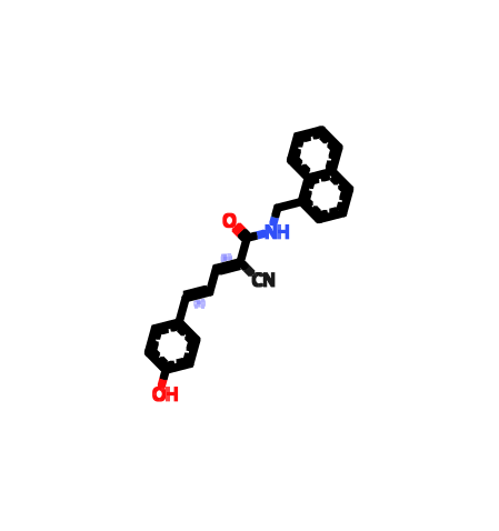 N#C/C(=C\C=C\c1ccc(O)cc1)C(=O)NCc1cccc2ccccc12